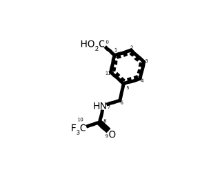 O=C(O)c1cccc(CNC(=O)C(F)(F)F)c1